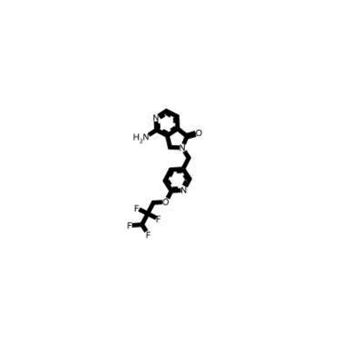 Nc1nccc2c1CN(Cc1ccc(OCC(F)(F)C(F)F)nc1)C2=O